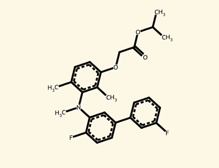 Cc1ccc(OCC(=O)OC(C)C)c(C)c1N(C)c1cc(-c2cccc(F)c2)ccc1F